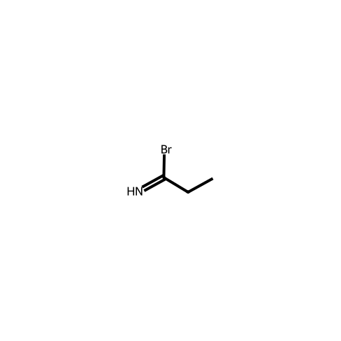 CCC(=N)Br